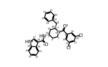 O=C(N[C@H]1CCN(C(=O)c2cc(Cl)cc(Cl)c2)[C@H](Cc2ccccc2)C1)c1c[nH]c2ccccc12